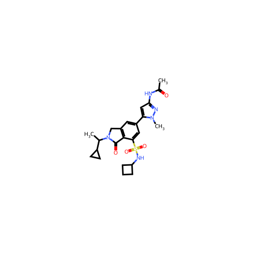 CC(=O)Nc1cc(-c2cc3c(c(S(=O)(=O)NC4CCC4)c2)C(=O)N(C(C)C2CC2)C3)n(C)n1